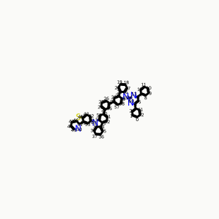 c1ccc(-c2cc(-c3ccccc3)nc(-n3c4ccccc4c4cc(-c5cccc(-c6ccc7c8ccccc8n(-c8ccc9sc%10cccnc%10c9c8)c7c6)c5)ccc43)n2)cc1